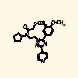 COc1ccc(-c2nc(-c3ccncc3)nn2CCN(C(=O)CSC)C2CCCC2)cc1Cl